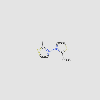 Cc1scc[n+]1-[n+]1ccsc1C(=O)O